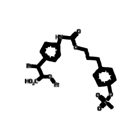 CCOC(C(=O)O)C(CC)c1ccc(NC(=O)OCCCc2ccc(OS(C)(=O)=O)cc2)cc1